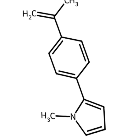 C=C(C)c1ccc(-c2cccn2C)cc1